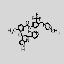 Cc1ccc(C(=O)Nc2ccc(CN3CCN(C)CC3)c(C(F)(F)F)c2)cc1Oc1cc(-c2ccncc2)nc2[nH]ccc12